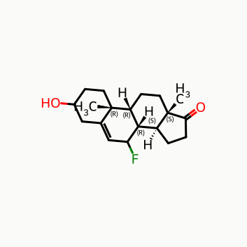 C[C@]12CCC(O)CC1=CC(F)[C@@H]1[C@H]2CC[C@]2(C)C(=O)CC[C@@H]12